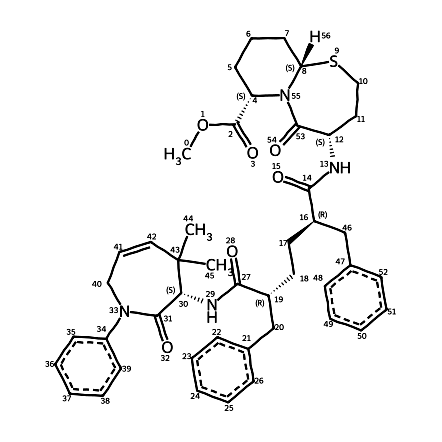 COC(=O)[C@@H]1CCC[C@@H]2SCC[C@H](NC(=O)[C@H](CC[C@H](Cc3ccccc3)C(=O)N[C@@H]3C(=O)N(c4ccccc4)CC=CC3(C)C)Cc3ccccc3)C(=O)N21